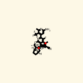 Cc1nc(N)cc(-c2nc3c4c(nc(C#N)c(C)c4c2F)N2C[C@H]4CC[C@@H]([C@H]2[C@H](C)O3)N4C(=O)OC(C)(C)C)c1C(F)(F)F